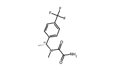 C[C@H](c1ccc(C(F)(F)F)cc1)N(C)C(=O)C(N)=O